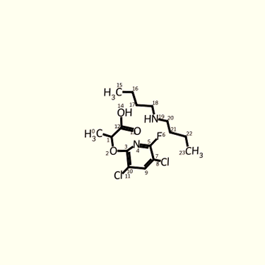 CC(Oc1nc(F)c(Cl)cc1Cl)C(=O)O.CCCCNCCCC